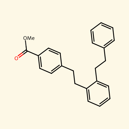 COC(=O)c1ccc(CCc2ccccc2CCc2ccccc2)cc1